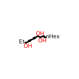 CCCCCC/C=C/C(O)C(O)C#CC#CC(O)CC